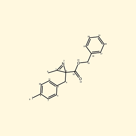 CC1=NC1(Cc1ccc(I)cc1)C(=O)OCc1ccccc1